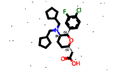 O=C(O)C[C@@H]1CC[C@@H](N(CC2CCCC2)CC2CCCC2)[C@H](c2ccc(Cl)c(F)c2)O1